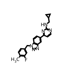 Cc1ccc(Cn2nnc3cc(-c4ccnc(NCC5CC5)n4)ccc32)cc1F